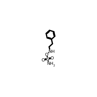 NS(=O)(=O)ONCCc1ccccc1